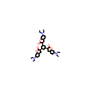 CCN(CC)c1ccc2cc(-c3cc(-c4cc5ccc(N(CC)CC)cc5oc4=O)cc(-c4cc5ccc(N(CC)CC)cc5oc4=O)c3)c(=O)oc2c1